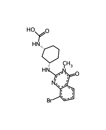 Cn1c(N[C@H]2CCC[C@@H](NC(=O)O)C2)nc2c(Br)cccc2c1=O